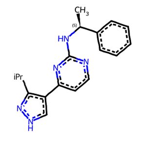 CC(C)c1n[nH]cc1-c1ccnc(N[C@@H](C)c2ccccc2)n1